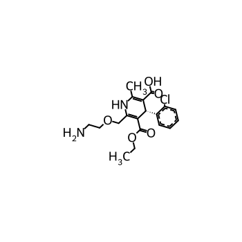 CCOC(=O)C1=C(COCCN)NC(C)=C(C(=O)O)[C@@H]1c1ccccc1Cl